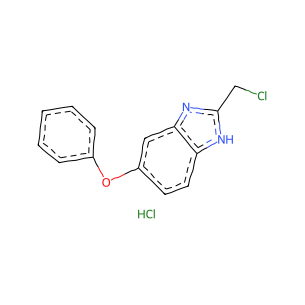 Cl.ClCc1nc2cc(Oc3ccccc3)ccc2[nH]1